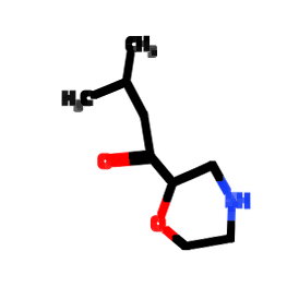 CC(C)CC(=O)C1CNCCO1